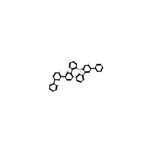 C1=CC2c3ccccc3OC2C(c2cccc3c2oc2cccc(-n4c5ccccc5c5cc(-c6ccccc6)ccc54)c23)=C1